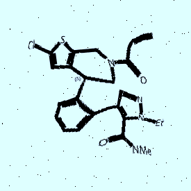 C=CC(=O)N1Cc2sc(Cl)cc2[C@H](c2ccccc2-c2cnn(CC)c2C(=O)NC)C1